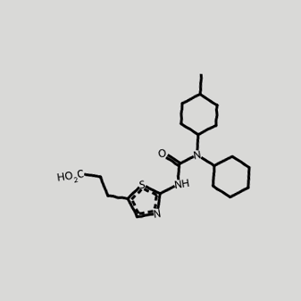 CC1CCC(N(C(=O)Nc2ncc(CCC(=O)O)s2)C2CCCCC2)CC1